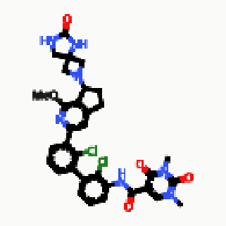 COc1nc(-c2cccc(-c3cccc(NC(=O)c4cn(C)c(=O)n(C)c4=O)c3Cl)c2Cl)cc2c1C(N1CC3(CNC(=O)N3)C1)CC2